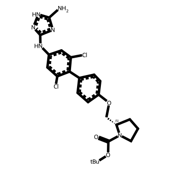 CC(C)(C)OC(=O)N1CCC[C@H]1COc1ccc(-c2c(Cl)cc(Nc3n[nH]c(N)n3)cc2Cl)cc1